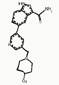 NC(=O)c1n[nH]c2ccc(-c3cncc(CN4CCC(O)CC4)c3)cc12